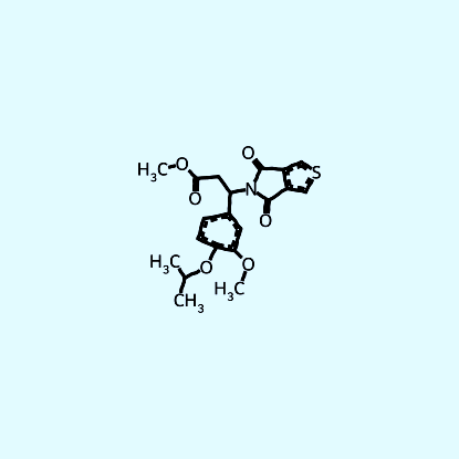 COC(=O)CC(c1ccc(OC(C)C)c(OC)c1)N1C(=O)c2cscc2C1=O